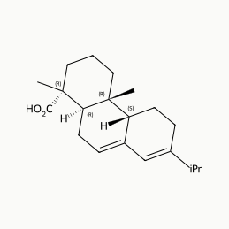 CC(C)C1=CC2=CC[C@@H]3[C@](C)(CCC[C@@]3(C)C(=O)O)[C@@H]2CC1